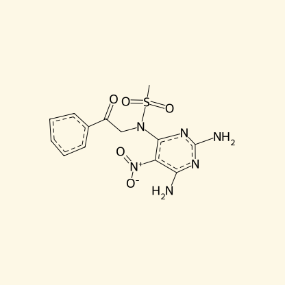 CS(=O)(=O)N(CC(=O)c1ccccc1)c1nc(N)nc(N)c1[N+](=O)[O-]